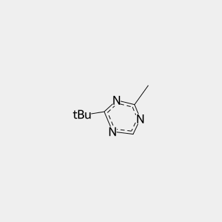 Cc1ncnc(C(C)(C)C)n1